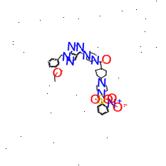 CCOc1cccc(Cn2ncc3c(N4CCN(C(=O)C5CCC(N6CCN(S(=O)(=O)c7ccccc7[N+](=O)[O-])CC6)CC5)CC4)ncnc32)c1